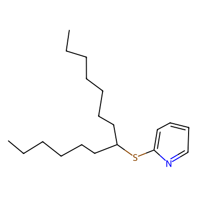 CCCCCCCC(CCCCCC)Sc1ccccn1